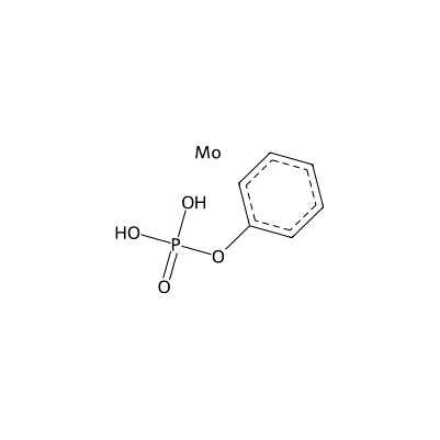 O=P(O)(O)Oc1ccccc1.[Mo]